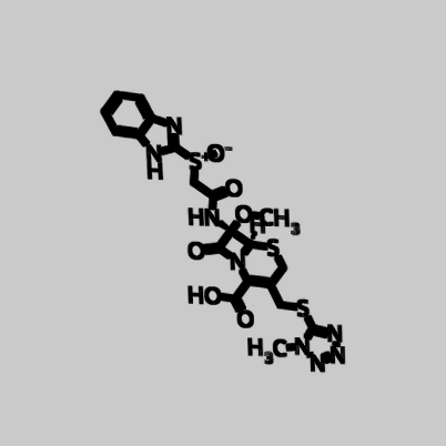 CO[C@@]1(NC(=O)C[S+]([O-])c2nc3ccccc3[nH]2)C(=O)N2C(C(=O)O)=C(CSc3nnnn3C)CS[C@@H]21